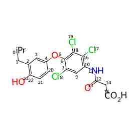 CC(C)Cc1cc(Oc2c(Cl)cc(NC(=O)CC(=O)O)c(Cl)c2Cl)ccc1O